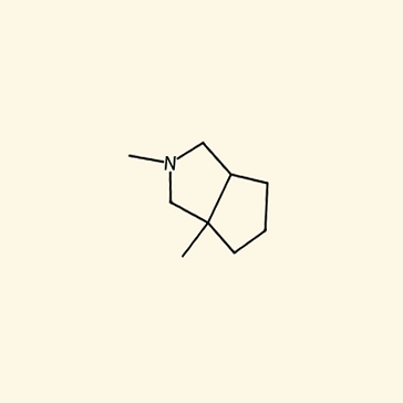 CN1CC2CCCC2(C)C1